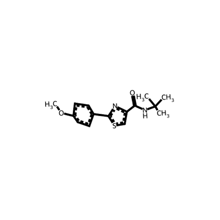 COc1ccc(-c2nc(C(=O)NC(C)(C)C)cs2)cc1